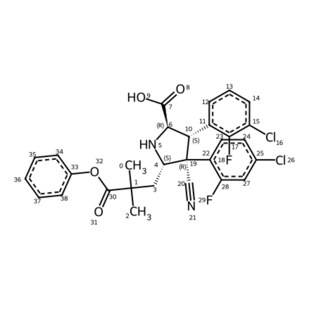 CC(C)(C[C@@H]1N[C@@H](C(=O)O)[C@H](c2cccc(Cl)c2F)[C@@]1(C#N)c1ccc(Cl)cc1F)C(=O)Oc1ccccc1